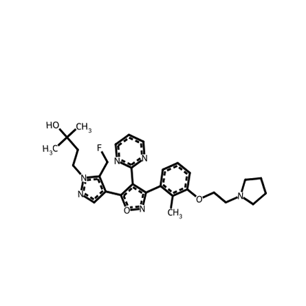 Cc1c(OCCN2CCCC2)cccc1-c1noc(-c2cnn(CCC(C)(C)O)c2CF)c1-c1ncccn1